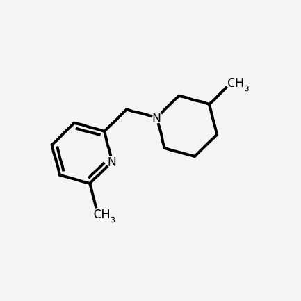 Cc1cccc(CN2CCCC(C)C2)n1